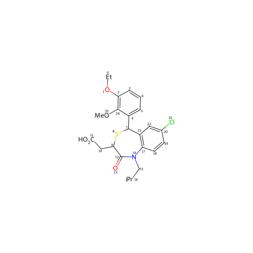 CCOc1cccc(C2SC(CC(=O)O)C(=O)N(CC(C)C)c3ccc(Cl)cc32)c1OC